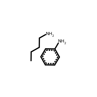 CCCCN.Nc1ccccc1